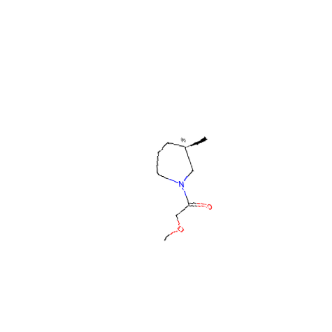 COCC(=O)N1CCC[C@@H](C)C1